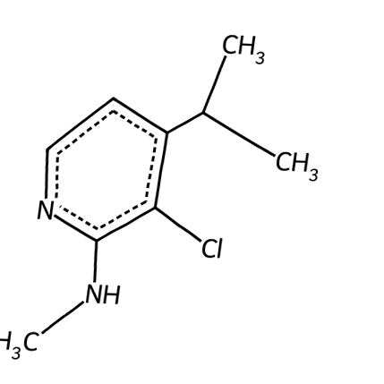 CNc1nccc(C(C)C)c1Cl